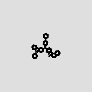 c1ccc(-c2ccc(N(c3ccc4c(c3)c3ccccc3n4-c3ccccc3)c3ccc4c(n3)sc3ccc5ccccc5c34)cc2)cc1